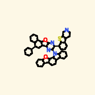 c1ccc(-c2cc3c4nc(-n5c6ccccc6c6ccc7c8ccccc8oc7c65)c(-c5cccc6c5sc5cnccc56)nc4oc3c3ccccc23)cc1